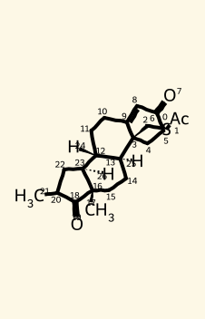 CC(=O)SC[C@]12CCC(=O)C=C1CC[C@@H]1[C@@H]2CC[C@]2(C)C(=O)C(C)C[C@@H]12